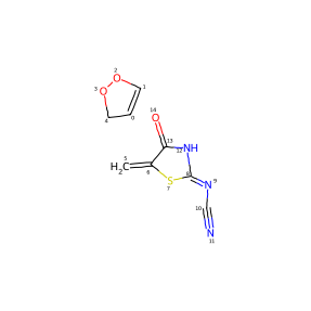 C1=COOC1.C=C1SC(=NC#N)NC1=O